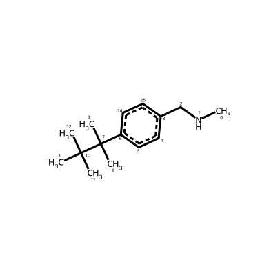 CNCc1ccc(C(C)(C)C(C)(C)C)cc1